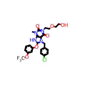 Cn1c2c(c(=O)n(CCOCCO)c1=O)N(Cc1ccc(Cl)cc1)C(Oc1cccc(OC(F)(F)F)c1)N2